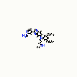 COc1cc(OC)cc(N(CCCNC(C)C)c2ccc3ncc(-c4ccnc(N)c4)nc3c2)c1